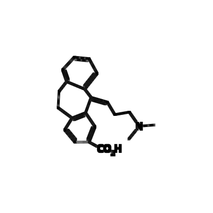 CN(C)CCC=C1c2ccccc2CCc2ccc(C(=O)O)cc21